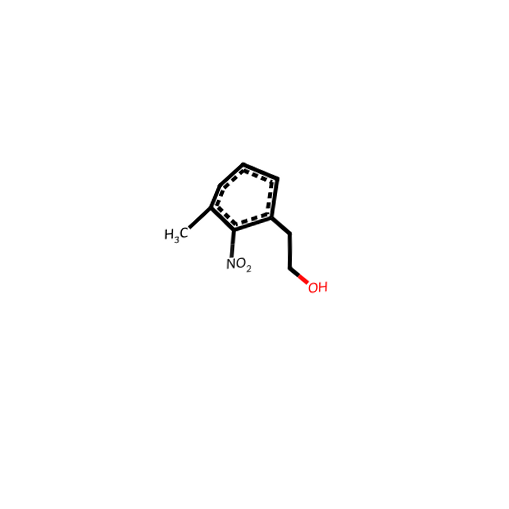 Cc1cccc(CCO)c1[N+](=O)[O-]